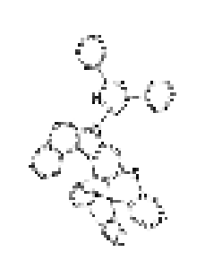 c1ccc(-c2cc(-c3ccccc3)nc(-n3c4cc5c(cc4c4c6ccccc6ccc43)C3(c4ccccc4S5)c4ccccc4-c4ccccc43)c2)cc1